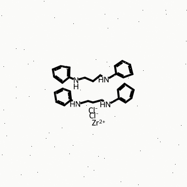 [Cl-].[Cl-].[Zr+2].c1ccc(NCCCNc2ccccc2)cc1.c1ccc(NCCCNc2ccccc2)cc1